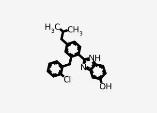 CC(C)Cc1ccc(-c2nc3cc(O)ccc3[nH]2)c(Cc2ccccc2Cl)c1